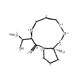 O=C(O)[C@H](O)[C@H]1OCCCCOC[C@H]2CCCN2C1=O